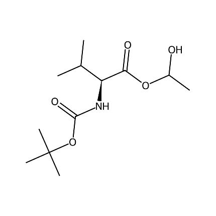 CC(O)OC(=O)[C@@H](NC(=O)OC(C)(C)C)C(C)C